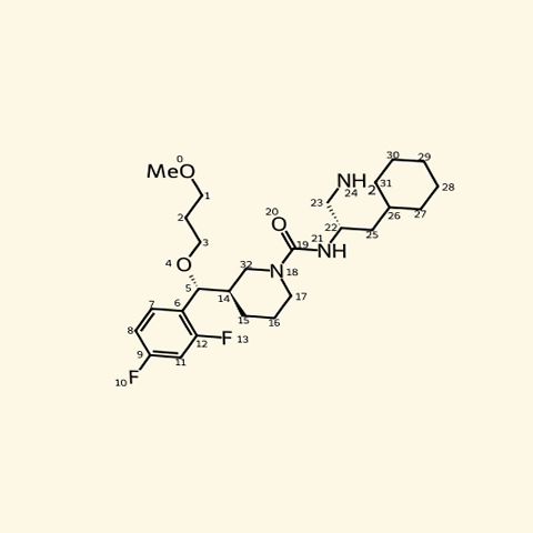 COCCCO[C@@H](c1ccc(F)cc1F)[C@@H]1CCCN(C(=O)N[C@H](CN)CC2CCCCC2)C1